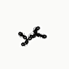 CC1(C)c2cc(N(c3ccc(-c4nc5ccccc5o4)cc3)c3ccc4oc5ccccc5c4c3)ccc2-c2ccc(N(c3ccc(-c4nc5ccccc5o4)cc3)c3ccc4oc5ccccc5c4c3)cc21